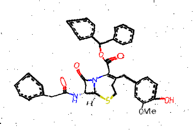 COc1cc(CC2=C(C(=O)OC(c3ccccc3)c3ccccc3)N3C(=O)[C@@H](NC(=O)Cc4ccccc4)[C@@H]3SC2)ccc1O